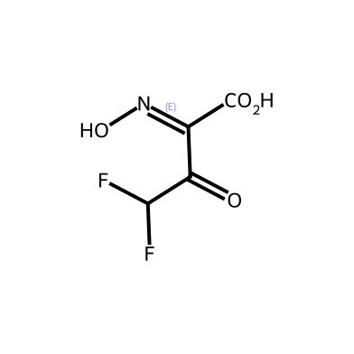 O=C(O)/C(=N/O)C(=O)C(F)F